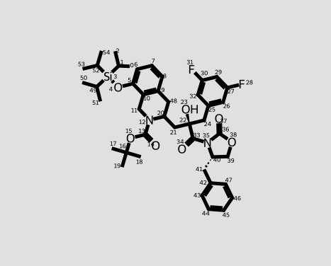 CC(C)[Si](Oc1cccc2c1CN(C(=O)OC(C)(C)C)C(C[C@](O)(Cc1cc(F)cc(F)c1)C(=O)N1C(=O)OC[C@@H]1Cc1ccccc1)C2)(C(C)C)C(C)C